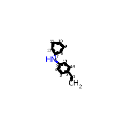 C=Cc1ccc(Nc2ccccc2)cc1